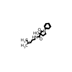 CN(C)CCCNC(=O)C1(O)CCN(c2ccccc2)C1=O